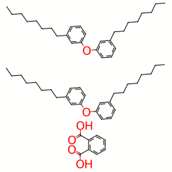 CCCCCCCCc1cccc(Oc2cccc(CCCCCCCC)c2)c1.CCCCCCCCc1cccc(Oc2cccc(CCCCCCCC)c2)c1.O=C(O)c1ccccc1C(=O)O